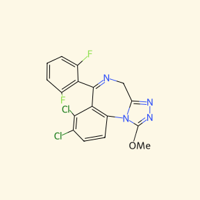 COc1nnc2n1-c1ccc(Cl)c(Cl)c1C(c1c(F)cccc1F)=NC2